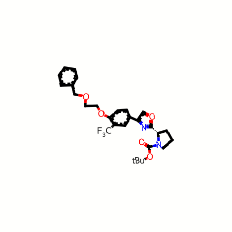 CC(C)(C)OC(=O)N1CCC[C@H]1c1nc(-c2ccc(OCCOCc3ccccc3)c(C(F)(F)F)c2)co1